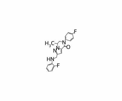 CC1CN(c2ccc(F)cc2)C(=O)c2cc(CNc3ccccc3F)nn21